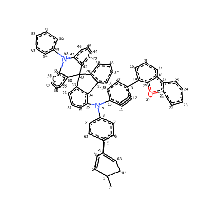 CC1C=CC(c2ccc(N(c3c#cc(-c4cccc5c4oc4ccccc45)cc3)c3cccc4c3-c3ccccc3C43c4ccccc4N(c4ccccc4)c4ccccc43)cc2)=CC1